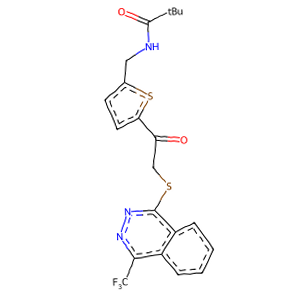 CC(C)(C)C(=O)NCc1ccc(C(=O)CSc2nnc(C(F)(F)F)c3ccccc23)s1